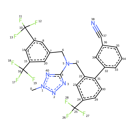 Cn1nnc(N(Cc2cc(C(F)(F)F)cc(C(F)(F)F)c2)Cc2cc(C(F)(F)F)ccc2-c2cccc(C#N)c2)n1